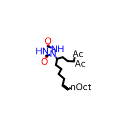 CCCCCCCC/C=C\CCCCC(CCC(C(C)=O)C(C)=O)n1[nH]c(=O)[nH]c1=O